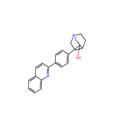 OC1(c2ccc(-c3ccc4ccccc4n3)cc2)CN2CCC1CC2